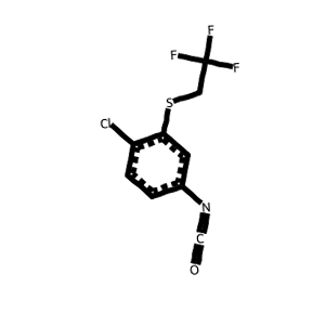 O=C=Nc1ccc(Cl)c(SCC(F)(F)F)c1